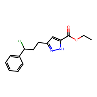 CCOC(=O)c1cc(CCC(Cl)c2ccccc2)n[nH]1